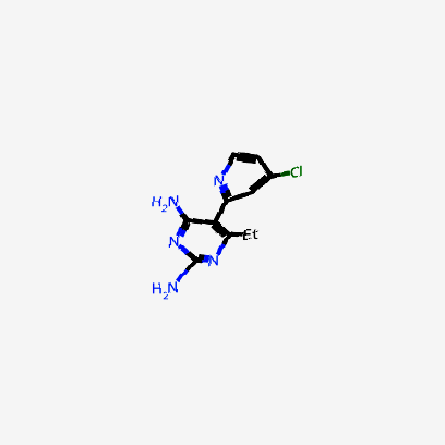 CCc1nc(N)nc(N)c1-c1cc(Cl)ccn1